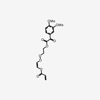 C=CC(=O)O/C=C\OOCCOC(=O)C(=O)c1ccc(OC)c(OC)c1